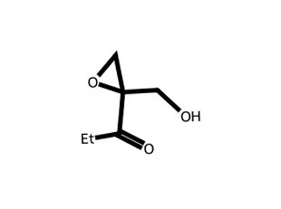 CCC(=O)C1(CO)CO1